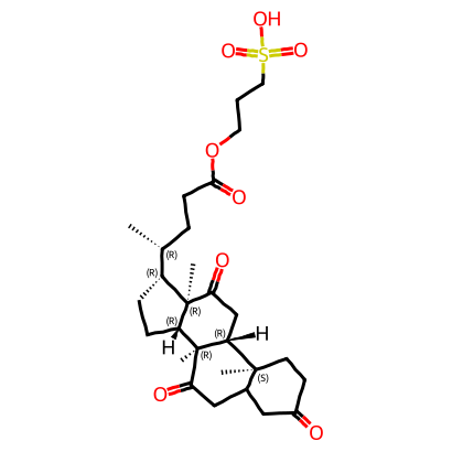 C[C@H](CCC(=O)OCCCS(=O)(=O)O)[C@H]1CC[C@@H]2[C@]1(C)C(=O)C[C@H]1[C@@]2(C)C(=O)CC2CC(=O)CC[C@@]21C